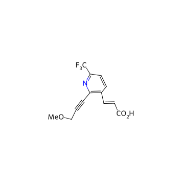 COCC#Cc1nc(C(F)(F)F)ccc1C=CC(=O)O